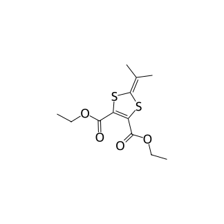 CCOC(=O)C1=C(C(=O)OCC)SC(=C(C)C)S1